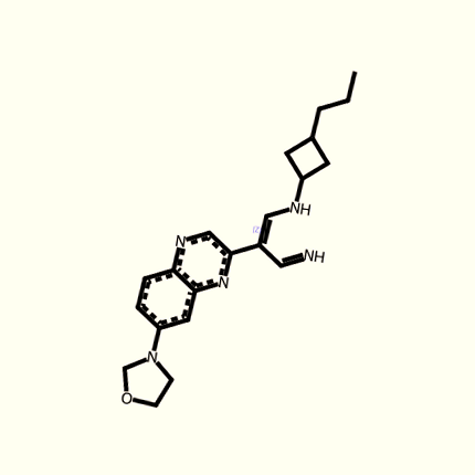 CCCC1CC(N/C=C(\C=N)c2cnc3ccc(N4CCOC4)cc3n2)C1